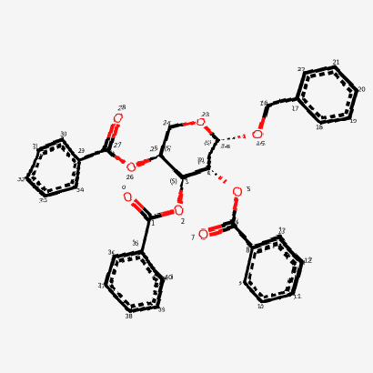 O=C(O[C@@H]1[C@@H](OC(=O)c2ccccc2)[C@@H](OCc2ccccc2)OC[C@@H]1OC(=O)c1ccccc1)c1ccccc1